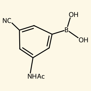 CC(=O)Nc1cc(C#N)cc(B(O)O)c1